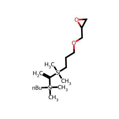 C=C([Si](C)(C)CCCC)[Si](C)(C)CCCOCC1CO1